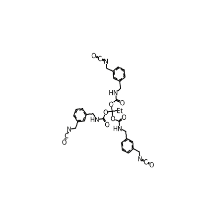 CCC(OC(=O)NCc1cccc(CN=C=O)c1)(OC(=O)NCc1cccc(CN=C=O)c1)OC(=O)NCc1cccc(CN=C=O)c1